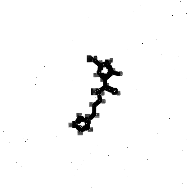 Cc1nc(Br)sc1C(=O)NCCCn1ccnc1